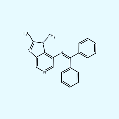 Cc1nc2cncc(N=C(c3ccccc3)c3ccccc3)c2n1C